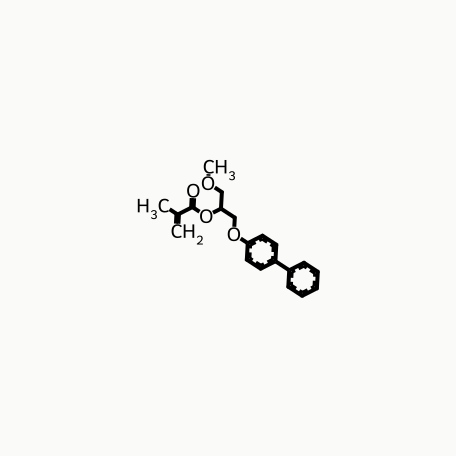 C=C(C)C(=O)OC(COC)COc1ccc(-c2ccccc2)cc1